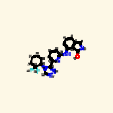 O=C1N=Cc2cccc(Nc3cccc(-c4nncn4[C@@H]4CCCCC4(F)F)n3)c21